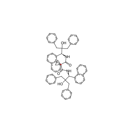 O=C(N[C@@H](c1cccc2ccccc12)C(O)(Cc1ccccc1)Cc1ccccc1)C1(C(=O)N[C@@H](c2cccc3ccccc23)C(O)(Cc2ccccc2)Cc2ccccc2)CC1